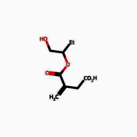 C=C(CC(=O)O)C(=O)OC(CC)CO